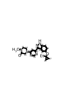 CCC1(Oc2ccc3[nH]nc(-c4cc(N5CCN(C)C(=O)C5)ncn4)c3c2)CC1